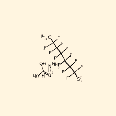 FC(F)(F)C(F)(F)C(F)(F)C(F)(F)C(F)(F)C(F)(F)C(F)(F)C(F)(F)F.N.N.O=[PH](O)O